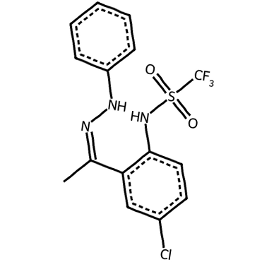 CC(=NNc1ccccc1)c1cc(Cl)ccc1NS(=O)(=O)C(F)(F)F